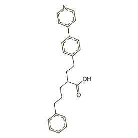 O=C(O)C(CCCc1ccccc1)CCc1ccc(-c2ccncc2)cc1